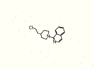 ClCCC1CCN(c2nccc3ccccc23)CC1